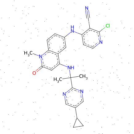 Cn1c(=O)cc(NC(C)(C)c2ncc(C3CC3)cn2)c2cc(Nc3ccnc(Cl)c3C#N)ccc21